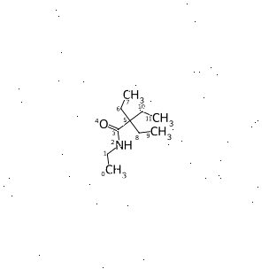 CCNC(=O)C(CC)(CC)CC